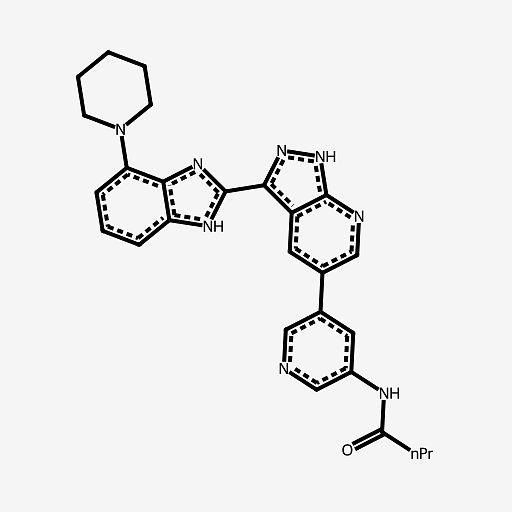 CCCC(=O)Nc1cncc(-c2cnc3[nH]nc(-c4nc5c(N6CCCCC6)cccc5[nH]4)c3c2)c1